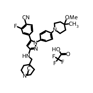 COC1(C)CCN(c2ccc(-n3nc(NCC45CCN(CC4)CC5)cc3-c3ccc(C#N)c(F)c3)cc2)CC1.O=C(O)C(F)(F)F